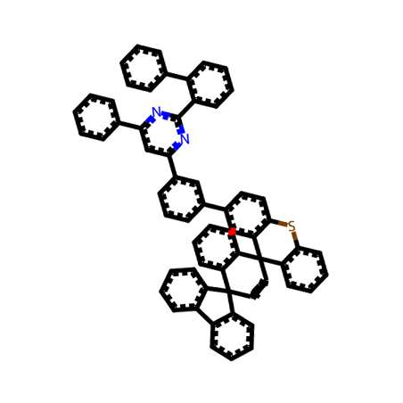 c1ccc(-c2cc(-c3cccc(-c4ccc5c(c4)C4(c6ccccc6S5)c5ccccc5C5(c6ccccc6-c6ccccc65)c5ccccc54)c3)nc(-c3ccccc3-c3ccccc3)n2)cc1